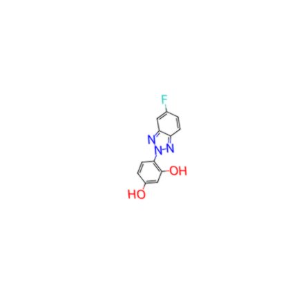 Oc1ccc(-n2nc3ccc(F)cc3n2)c(O)c1